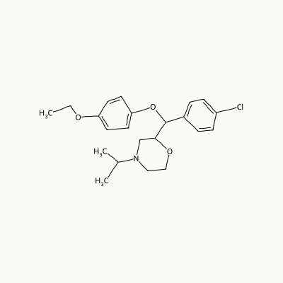 CCOc1ccc(OC(c2ccc(Cl)cc2)C2CN(C(C)C)CCO2)cc1